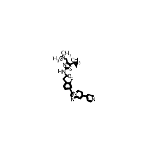 CN(C)Cc1nc(NC(=O)Cc2ccc(-c3cnc4cc(-c5ccncc5)ccn34)cc2F)sc1C1(C)CC1